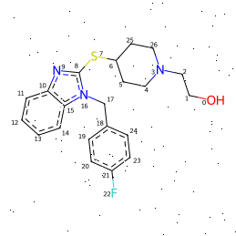 OCCN1CCC(Sc2nc3ccccc3n2Cc2ccc(F)cc2)CC1